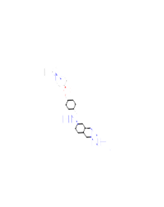 CN1CCC(OCc2ccc(CNc3ccc4cc(N)ncc4c3)cc2)CC1